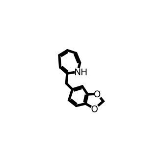 C1=CC=C(Cc2ccc3c(c2)OCO3)NC=C1